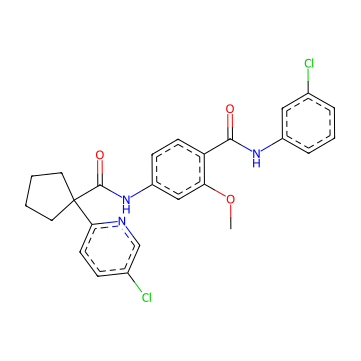 COc1cc(NC(=O)C2(c3ccc(Cl)cn3)CCCC2)ccc1C(=O)Nc1cccc(Cl)c1